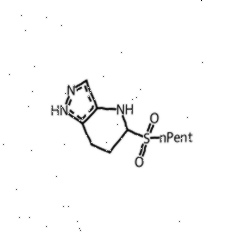 CCCCCS(=O)(=O)C1CCc2[nH]ncc2N1